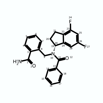 NC(=O)c1ccccc1CN(C(=O)c1ccccc1)[C@@H]1CCc2c(F)cc(F)cc21